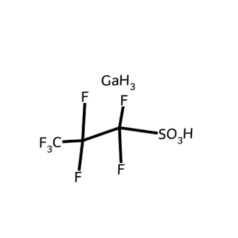 O=S(=O)(O)C(F)(F)C(F)(F)C(F)(F)F.[GaH3]